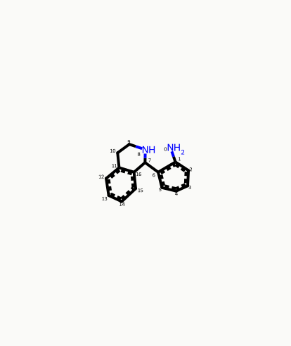 Nc1ccccc1C1NCCc2ccccc21